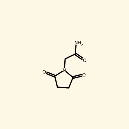 NC(=O)CN1C(=O)CCC1=O